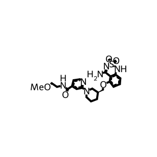 COCCNC(=O)c1ccnc(N2CCC[C@H](COc3cccc4c3C(N)=NS(=O)(=O)N4)C2)c1